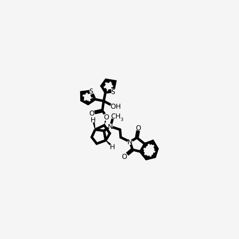 CN(CCN1C(=O)c2ccccc2C1=O)C1[C@H]2CC[C@@H]1[C@H](OC(=O)C(O)(c1cccs1)c1cccs1)C2